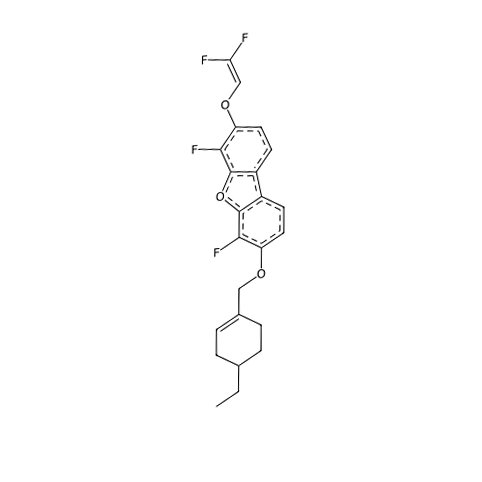 CCC1CC=C(COc2ccc3c(oc4c(F)c(OC=C(F)F)ccc43)c2F)CC1